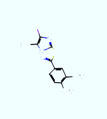 COc1ccc(-c2nn3c(C)c(I)nc3s2)cc1OC